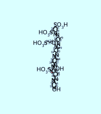 Cc1cc(N=Nc2cc(C)c(N=Nc3ccc(S(=O)(=O)O)cc3S(=O)(=O)O)cc2OCCCS(=O)(=O)O)c(C)cc1N=Nc1cc(C)c(N=Nc2c(S(=O)(=O)O)cc3cc(N=Nc4ccc(O)cc4)ccc3c2O)cc1C